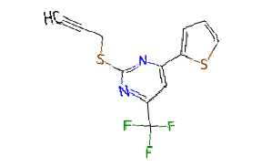 C#CCSc1nc(-c2cccs2)cc(C(F)(F)F)n1